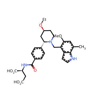 CCO[C@H]1CCN(Cc2c(OC)cc(C)c3[nH]ccc23)[C@H](c2ccc(C(=O)N[C@@H](CC(=O)O)C(=O)O)cc2)C1